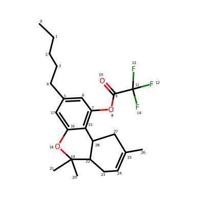 CCCCCc1cc(OC(=O)C(F)(F)F)c2c(c1)OC(C)(C)C1CC=C(C)CC21